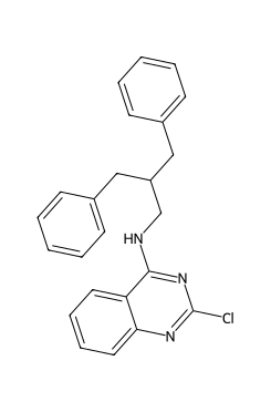 Clc1nc(NCC(Cc2ccccc2)Cc2ccccc2)c2ccccc2n1